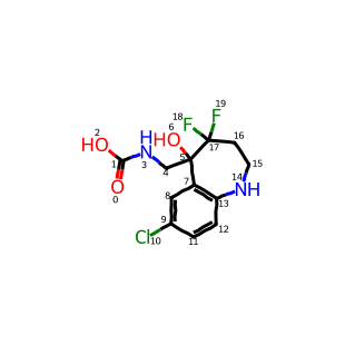 O=C(O)NCC1(O)c2cc(Cl)ccc2NCCC1(F)F